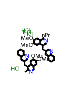 CCCc1ncc(Cc2cnc3ccccc3c2)c2cc(OC)c(OC)cc12.COc1cc2cnc(C)c(Cc3cnc4ccccc4c3)c2cc1OC.Cl.Cl.Cl.Cl